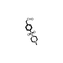 CN1CCN(S(=O)(=O)c2ccc(CC=O)cc2)CC1